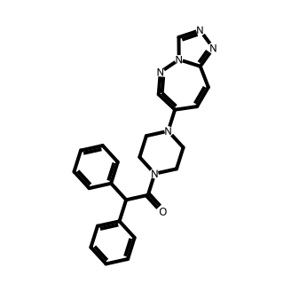 O=C(C(c1ccccc1)c1ccccc1)N1CCN(C2=C=Nn3cnnc3C=C2)CC1